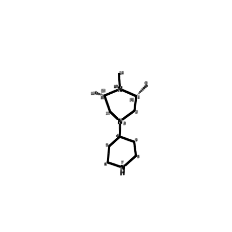 C[C@@H]1CN(C2CCNCC2)C[C@H](C)N1C